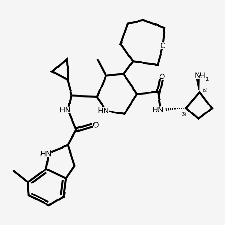 Cc1cccc2c1NC(C(=O)NC(C1CC1)C1NCC(C(=O)N[C@H]3CC[C@@H]3N)C(C3CCCCCC3)C1C)C2